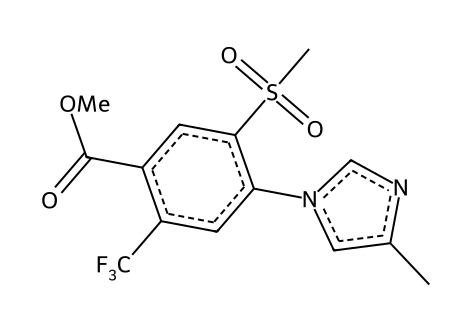 COC(=O)c1cc(S(C)(=O)=O)c(-n2cnc(C)c2)cc1C(F)(F)F